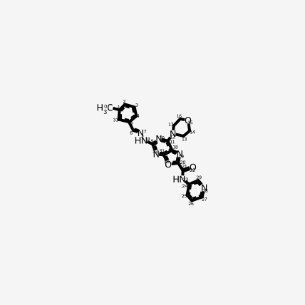 Cc1cccc(/C=N/Nc2nc(N3CCOCC3)c3nc(C(=O)Nc4cccnc4)oc3n2)c1